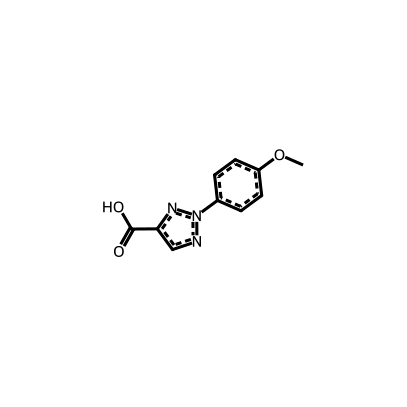 COc1ccc(-n2ncc(C(=O)O)n2)cc1